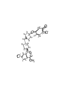 O=C(O)c1ccc(Cl)cc1C(=O)N1CCC(CN2CCC(Oc3ccc(Cl)c(Cl)c3)CC2)CC1